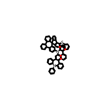 c1ccc(-c2ccccc2N(c2ccc3c(c2)-c2ccccc2N(c2ccccc2)c2ccccc2-3)c2ccc3c(c2)C2(c4ccccc4-c4ccccc4-3)c3ccccc3-c3c2ccc2c3sc3ccccc32)cc1